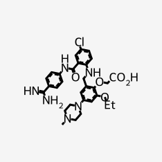 CCOc1cc(N2CCN(C)CC2)cc(CNc2ccc(Cl)cc2C(=O)Nc2ccc(C(=N)N)cc2)c1OCC(=O)O